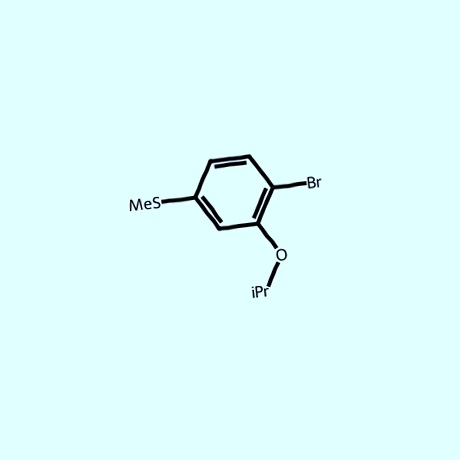 CSc1ccc(Br)c(OC(C)C)c1